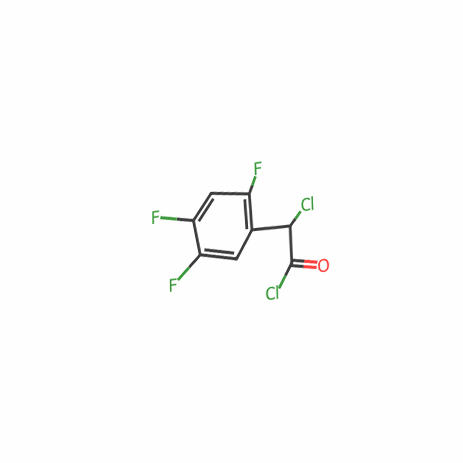 O=C(Cl)C(Cl)c1cc(F)c(F)cc1F